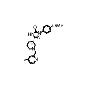 COc1ccc(-n2nc([C@H]3CCCN(Cc4cc(C)ccn4)C3)[nH]c2=O)cc1